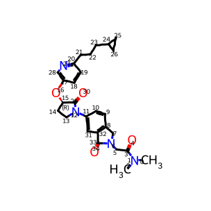 CN(C)C(=O)CN1Cc2ccc(N3CC[C@@H](Oc4ccc(CCCC5CC5)nc4)C3=O)cc2C1=O